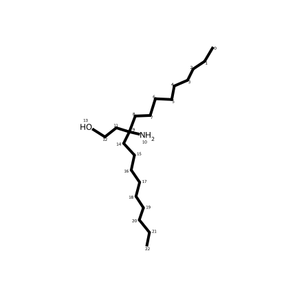 CCCCCCCCCC(N)(CCO)CCCCCCCCC